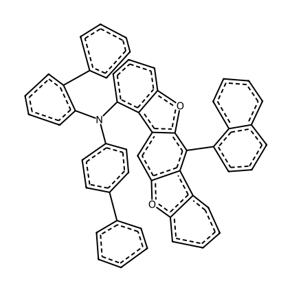 c1ccc(-c2ccc(N(c3ccccc3-c3ccccc3)c3cccc4oc5c(-c6cccc7ccccc67)c6c(cc5c34)oc3ccccc36)cc2)cc1